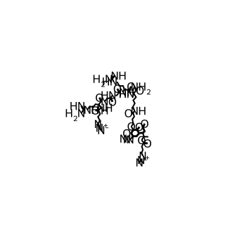 COc1c(N=[N+]=[N-])cc2c(C(C)OC(=O)CCCN=[N+]=[N-])cc(=O)oc2c1OCCCC(=O)NCCCCC(NC(=O)C(CCCNC(=N)N)NC(=O)CNC(=O)CNC(=O)C(CCCNC(=N)N)NC(=O)CCCN=[N+]=[N-])C(N)=O